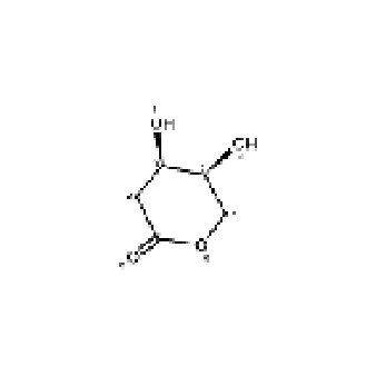 O=C1C[C@@H](O)[C@@H](O)CO1